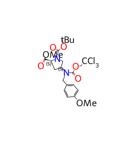 COC(=O)[C@@H]1C[C@H](N(Cc2ccc(OC)cc2)C(=O)OCC(Cl)(Cl)Cl)CN1C(=O)OC(C)(C)C